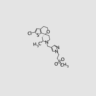 C[C@H]1C[C@@]2(CCN1Cc1cnn(CCS(C)(=O)=O)c1)OCCc1cc(Cl)sc12